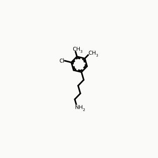 Cc1cc(CCCCN)cc(Cl)c1C